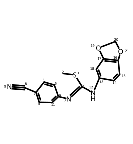 CS/C(=N\c1ccc(C#N)cc1)Nc1ccc2c(c1)OCO2